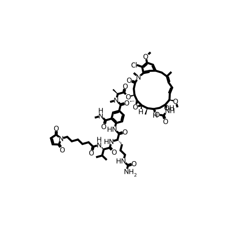 CNC(=O)c1cc(C(=O)N(C)[C@@H](C)C(=O)O[C@H]2CC(=O)N(C)c3cc(cc(OC)c3Cl)C/C(C)=C/C=C/[C@@H](OC)[C@@]3(O)C[C@H](OC(=O)N3)[C@@H](C)[C@@H]3O[C@@]23C)ccc1NC(=O)[C@H](CCCNC(N)=O)NC(=O)[C@@H](NC(=O)CCCCCN1C(=O)C=CC1=O)C(C)C